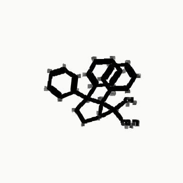 CCOC(=O)C1(C)P2CCC(c3ccccc3)(c3ccccc3)C21c1ccccc1